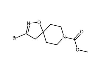 COC(=O)N1CCC2(CC1)CC(Br)=NO2